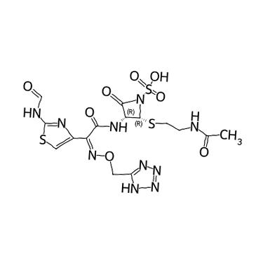 CC(=O)NCCS[C@@H]1[C@H](NC(=O)C(=NOCc2nnn[nH]2)c2csc(NC=O)n2)C(=O)N1S(=O)(=O)O